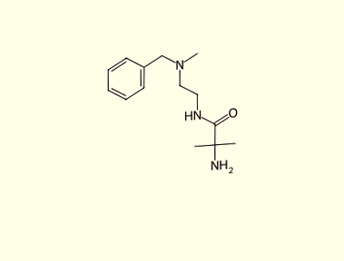 CN(CCNC(=O)C(C)(C)N)Cc1ccccc1